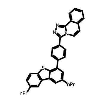 CCCc1ccc2sc3c(-c4ccc(-c5nnc6c7ccccc7ccn56)cc4)cc(CCC)cc3c2c1